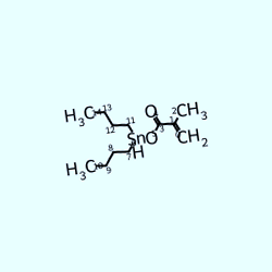 C=C(C)C(=O)[O][SnH]([CH2]CCC)[CH2]CCC